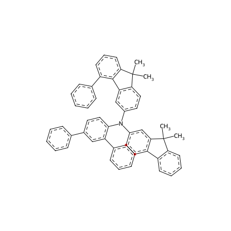 CC1(C)c2ccccc2-c2ccc(N(c3ccc4c(c3)-c3c(-c5ccccc5)cccc3C4(C)C)c3ccc(-c4ccccc4)cc3-c3ccccc3)cc21